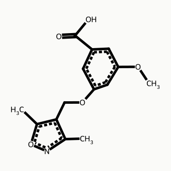 COc1cc(OCc2c(C)noc2C)cc(C(=O)O)c1